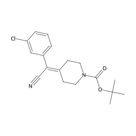 CC(C)(C)OC(=O)N1CCC(=C(C#N)c2cccc(Cl)c2)CC1